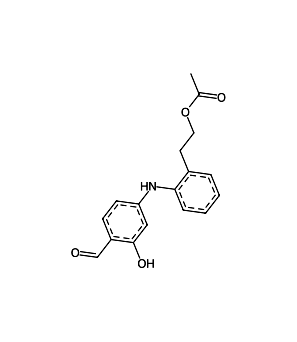 CC(=O)OCCc1ccccc1Nc1ccc(C=O)c(O)c1